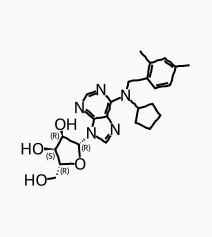 Cc1ccc(CN(c2ncnc3c2ncn3[C@@H]2O[C@H](CO)[C@@H](O)[C@H]2O)C2CCCC2)c(C)c1